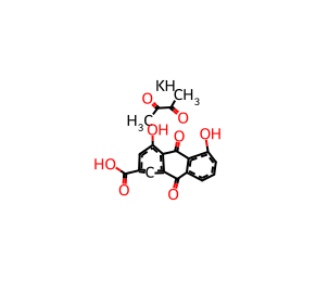 CC(=O)C(C)=O.O=C(O)c1cc(O)c2c(c1)C(=O)c1cccc(O)c1C2=O.[KH]